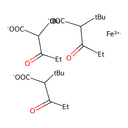 CCC(=O)C(C(=O)[O-])C(C)(C)C.CCC(=O)C(C(=O)[O-])C(C)(C)C.CCC(=O)C(C(=O)[O-])C(C)(C)C.[Fe+3]